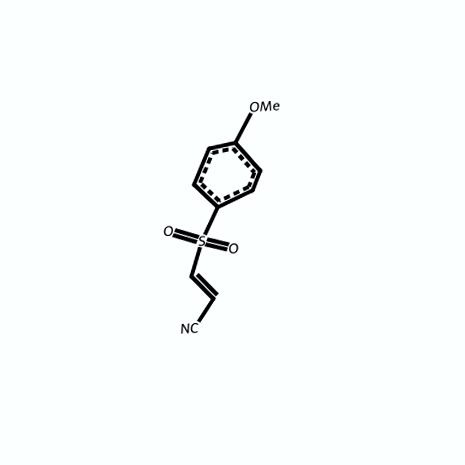 COc1ccc(S(=O)(=O)/C=C/C#N)cc1